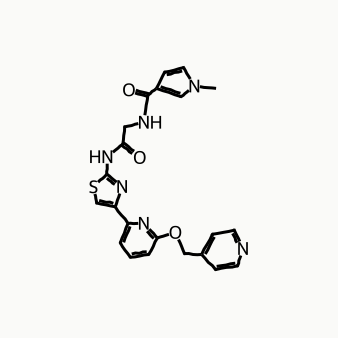 Cn1ccc(C(=O)NCC(=O)Nc2nc(-c3cccc(OCc4ccncc4)n3)cs2)c1